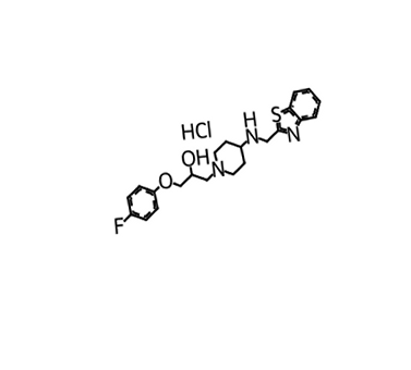 Cl.OC(COc1ccc(F)cc1)CN1CCC(NCc2nc3ccccc3s2)CC1